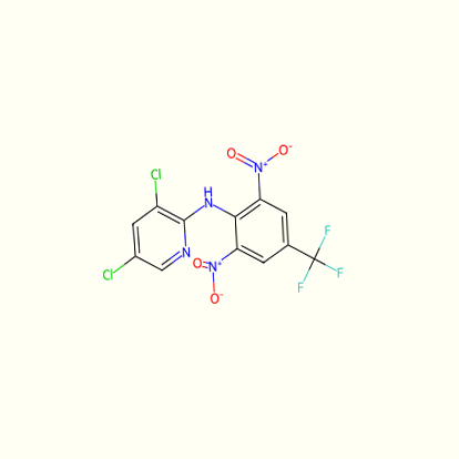 O=[N+]([O-])c1cc(C(F)(F)F)cc([N+](=O)[O-])c1Nc1ncc(Cl)cc1Cl